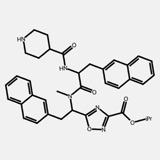 CC(C)OC(=O)c1noc(C(Cc2ccc3ccccc3c2)N(C)C(=O)C(Cc2ccc3ccccc3c2)NC(=O)C2CCNCC2)n1